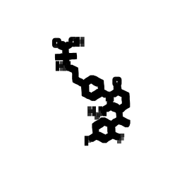 C=C(c1ccc(F)cc1F)c1ccc(=O)n(-c2ccc(CCNC(C)(C)C(=O)O)cc2)c1N